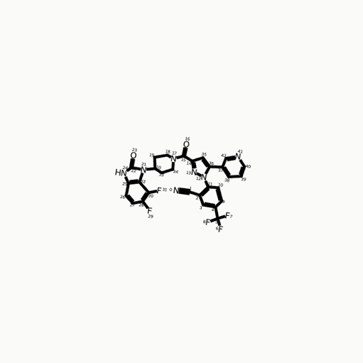 N#Cc1cc(C(F)(F)F)ccc1-n1nc(C(=O)N2CCC(n3c(=O)[nH]c4ccc(F)c(F)c43)CC2)cc1-c1cccnc1